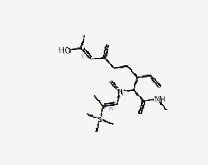 C=CC(CCC(=C)/C=C(\C)O)C(C(=C)NC)[N+](=C)/C=C(\C)[Si](C)(C)C